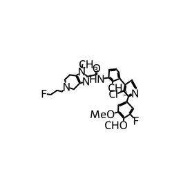 COc1cc(-c2nccc(-c3cccc(NC(=O)c4nc5c(n4C)CCN(CCCF)C5)c3C)c2Cl)cc(F)c1C=O